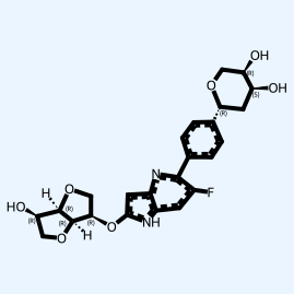 O[C@@H]1CO[C@H]2[C@@H]1OC[C@H]2Oc1cc2nc(-c3ccc([C@H]4C[C@H](O)[C@H](O)CO4)cc3)c(F)cc2[nH]1